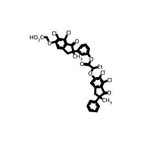 CCC(Oc1cc2c(c(Cl)c1Cl)C(=O)C(C)(c1ccccc1)C2)C(=O)Oc1cccc(C2(C)Cc3cc(OCC(=O)O)c(Cl)c(Cl)c3C2=O)c1